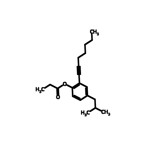 CCCCCC#Cc1cc(CC(C)C)ccc1OC(=O)CC